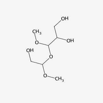 COC(CO)OC(OC)C(O)CO